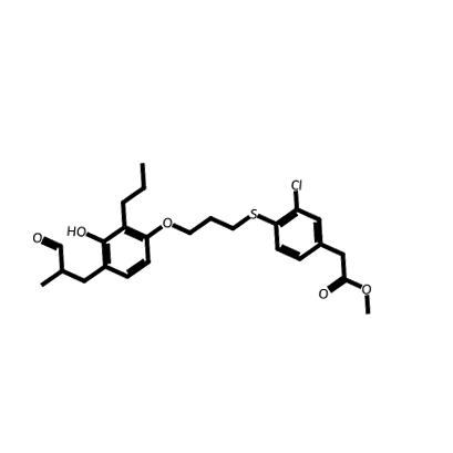 CCCc1c(OCCCSc2ccc(CC(=O)OC)cc2Cl)ccc(CC(C)C=O)c1O